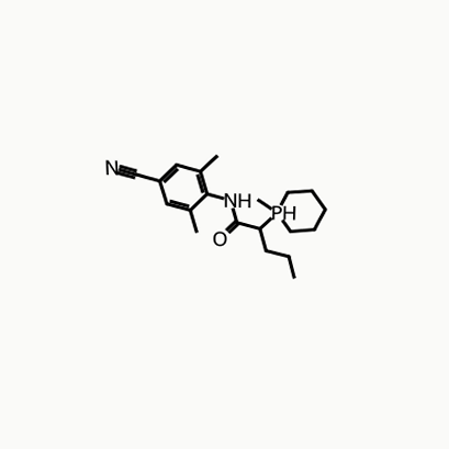 CCCC(C(=O)Nc1c(C)cc(C#N)cc1C)[PH]1(C)CCCCC1